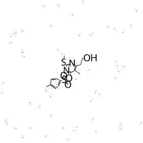 CSc1nc(CCO)c(C)c(OS(=O)(=O)c2ccc(C)cc2)n1